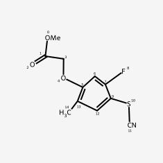 COC(=O)COc1cc(F)c(SC#N)cc1C